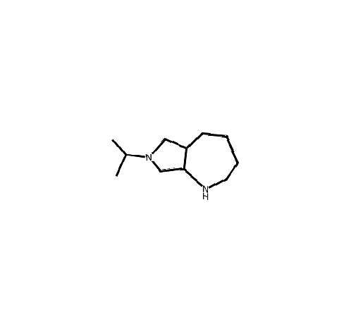 CC(C)N1CC2CCCCNC2C1